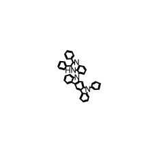 c1ccc(C2=Nc3cccc(-n4c5ccccc5c5cc6c7ccccc7n(-c7ccccc7)c6cc54)c3NC2c2ccccc2)cc1